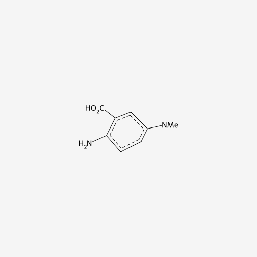 CNc1ccc(N)c(C(=O)O)c1